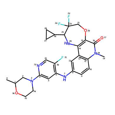 CC1CN(c2cc(Nc3ccc4c(c3)c3c(c(=O)n4C)OCC(F)(F)C(C4CC4)N3)c(F)cn2)CCO1